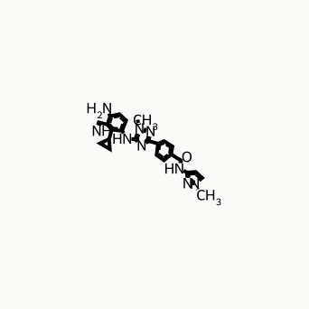 Cn1ccc(NC(=O)c2ccc(-c3nc(Nc4ccc(N)c(C=N)c4C4CC4)n(C)n3)cc2)n1